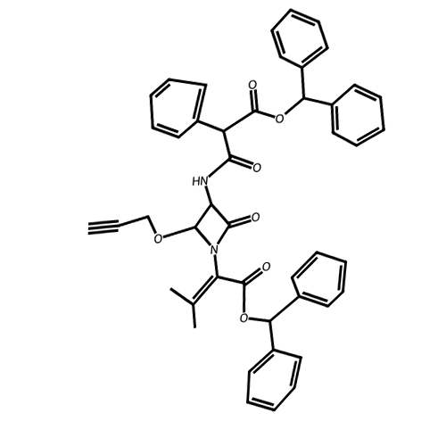 C#CCOC1C(NC(=O)C(C(=O)OC(c2ccccc2)c2ccccc2)c2ccccc2)C(=O)N1C(C(=O)OC(c1ccccc1)c1ccccc1)=C(C)C